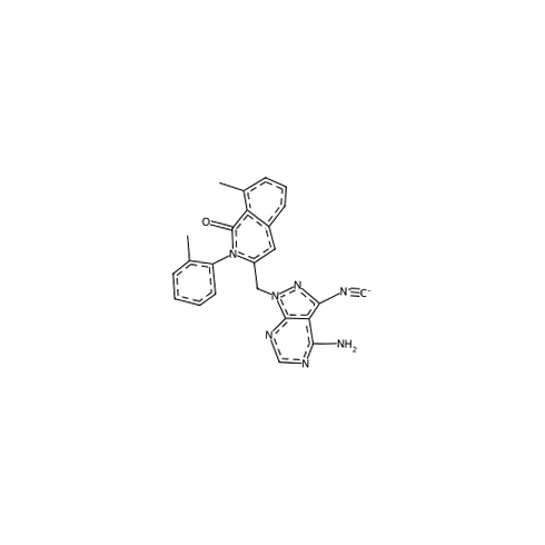 [C-]#[N+]c1nn(Cc2cc3cccc(C)c3c(=O)n2-c2ccccc2C)c2ncnc(N)c12